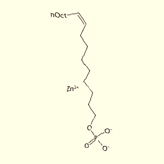 CCCCCCCC/C=C\CCCCCCCCOP(=O)([O-])[O-].[Zn+2]